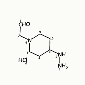 Cl.NNC1CCN(CC=O)CC1